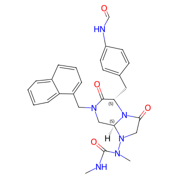 CNC(=O)N(C)N1CC(=O)N2[C@@H](Cc3ccc(NC=O)cc3)C(=O)N(Cc3cccc4ccccc34)C[C@@H]21